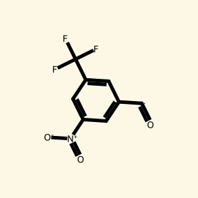 O=[C]c1cc([N+](=O)[O-])cc(C(F)(F)F)c1